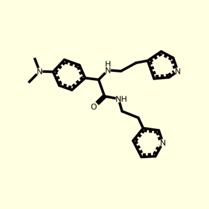 CN(C)c1ccc(C(NCCc2ccncc2)C(=O)NCCc2cccnc2)cc1